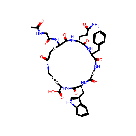 CC(=O)NCC(=O)NC1CCC(=O)NCCCC(C(=O)O)NC(=O)[C@H](Cc2c[nH]c3ccccc23)NC(=O)CNC(=O)C(Cc2ccccc2)NC(=O)[C@H](CCC(N)=O)NC1=O